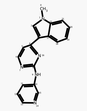 Cn1cc(-c2ccnc(Nc3cccnc3)n2)c2ccccc21